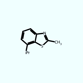 Cc1nc2cccc(C(C)C)c2s1